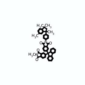 Cc1ccc2c(c1)C(C)(c1ccc(N3C(=O)c4ccc(C5(c6ccc7c(c6)C(=O)N(C)C7=O)c6ccccc6-c6ccccc65)cc4C3=O)cc1)CC2(C)C